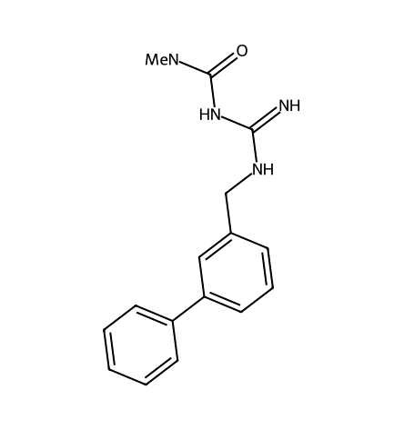 CNC(=O)NC(=N)NCc1cccc(-c2ccccc2)c1